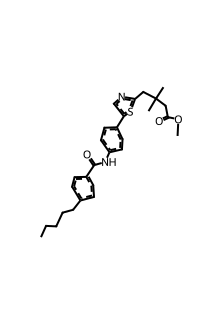 CCCCCc1ccc(C(=O)Nc2ccc(-c3cnc(CC(C)(C)CC(=O)OC)s3)cc2)cc1